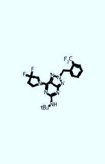 CC(C)(C)Nc1nc(N2CCC(F)(F)C2)c2nn(Cc3ccccc3C(F)(F)F)nc2n1